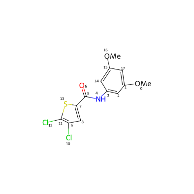 COc1cc(NC(=O)c2cc(Cl)c(Cl)s2)cc(OC)c1